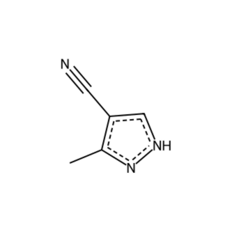 Cc1n[nH]cc1C#N